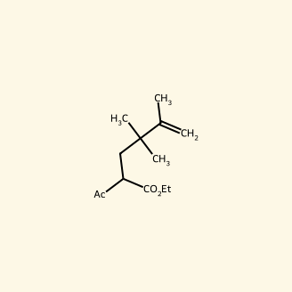 C=C(C)C(C)(C)CC(C(C)=O)C(=O)OCC